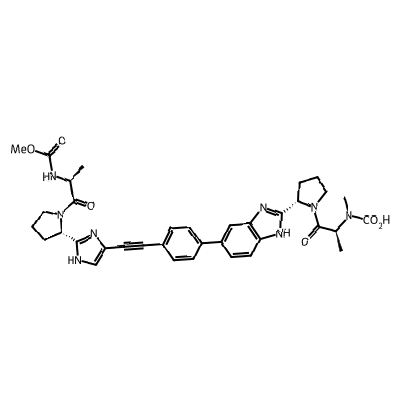 COC(=O)N[C@@H](C)C(=O)N1CCC[C@H]1c1nc(C#Cc2ccc(-c3ccc4[nH]c([C@@H]5CCCN5C(=O)[C@H](C)N(C)C(=O)O)nc4c3)cc2)c[nH]1